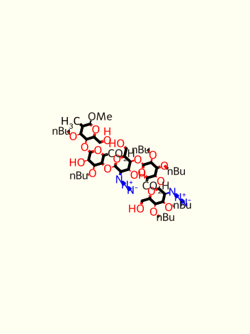 CCCCOC1[C@H](O[C@H]2OC(CO)[C@@H](OCCCC)[C@H](OCCCC)[C@@H]2N=[N+]=[N-])C(C(=O)O)O[C@@H](O[C@@H]2C(CO)O[C@@H](OC3C(C(=O)O)OC(O[C@@H]4C(CO)O[C@H](OC)C(C)[C@H]4OCCCC)[C@@H](O)[C@@H]3OCCCC)C(N=[N+]=[N-])[C@H]2O)[C@H]1OCCCC